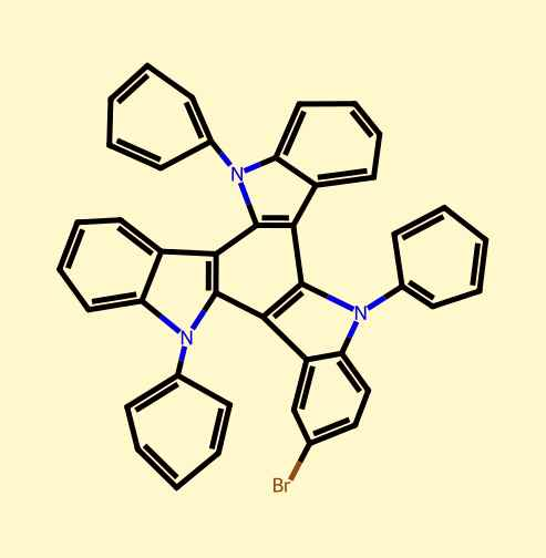 Brc1ccc2c(c1)c1c3c(c4ccccc4n3-c3ccccc3)c3c(c4ccccc4n3-c3ccccc3)c1n2-c1ccccc1